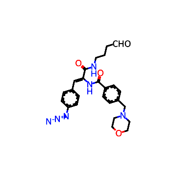 [N-]=[N+]=Nc1ccc(/C=C(\NC(=O)c2ccc(CN3CCOCC3)cc2)C(=O)NCCCC=O)cc1